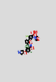 CN1CCC(Oc2cc(Cl)c(C(=O)N3COc4c(cccc4-c4cc(N5CCOCC5)c(C(=O)O)cc4F)C3)c(Cl)c2)CC1